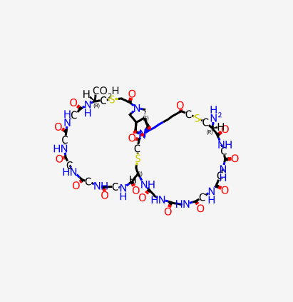 N[C@H]1CSCC(=O)N2CC34CN5C[C@]3(CN(C4)C(=O)CSC[C@H](NC(=O)CNC(=O)CNC(=O)CNC(=O)CNC(=O)CNC1=O)C(=O)NCC(=O)NCC(=O)NCC(=O)NCC(=O)NCC(=O)N[C@H](C(=O)O)CSCC5=O)C2